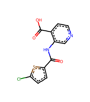 O=C(Nc1cnccc1C(=O)O)c1ccc(Cl)s1